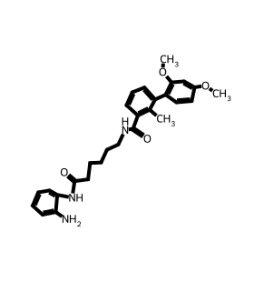 COc1ccc(-c2cccc(C(=O)NCCCCCC(=O)Nc3ccccc3N)c2C)c(OC)c1